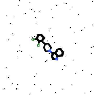 Clc1cccc(C2CCN(c3ccnc4ccccc34)CC2)c1Cl